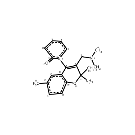 CN(C)CC1=C(n2ccccc2=O)c2cc(C(F)(F)F)ccc2OC1(C)C